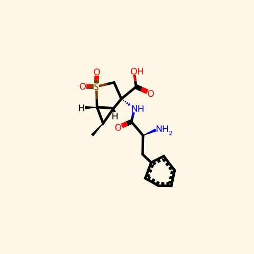 C[C@@H]1[C@@H]2[C@H]1S(=O)(=O)C[C@@]2(NC(=O)[C@@H](N)Cc1ccccc1)C(=O)O